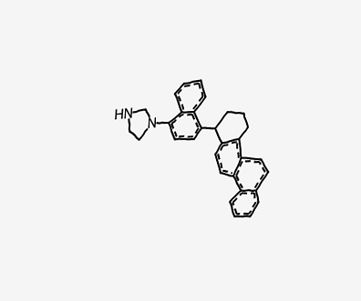 c1ccc2c(c1)ccc1c3c(ccc12)C(c1ccc(N2CCNC2)c2ccccc12)CCC3